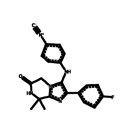 [C-]#[N+]c1ccc(Nc2c(-c3ccc(F)cc3)nc3n2CC(=O)NC3(C)C)cc1